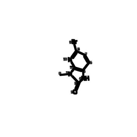 Cn1c(=O)[nH]c2ccc(Br)nc21